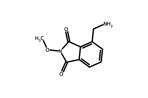 CON1C(=O)c2cccc(CN)c2C1=O